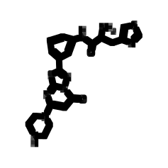 NC(Cc1cscn1)C(=O)Nc1cccc(-c2nn3c(=O)cc(N4CCNCC4)nc3s2)c1